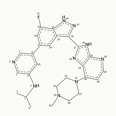 CC(C)Nc1cncc(-c2cc(F)c3[nH]nc(-c4nc5c(N6CCN(C)CC6)ccnc5[nH]4)c3c2)c1